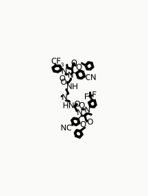 CC1=C(C(=O)OCc2ccccc2)[C@@H](c2ccc(C#N)cc2)N(CC(=O)NCCN(C)CCNC(=O)CN2C(=O)N(c3cccc(C(F)(F)F)c3)C(C)=C(C(=O)OCc3ccccc3)[C@H]2c2ccc(C#N)cc2)C(=O)N1c1cccc(C(C)(F)F)c1